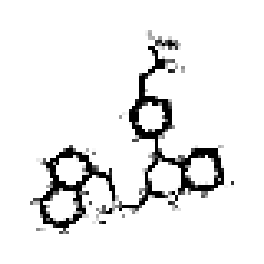 COC(=O)Cc1ccc(C2CC(CN(C)Cc3cccc4ccccc34)Oc3ccccc32)cc1